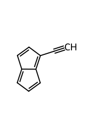 C#CC1=C2C=CC=C2C=C1